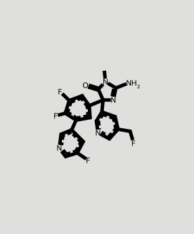 CN1C(=O)C(c2cncc(CF)c2)(c2cc(F)c(F)c(-c3cncc(F)c3)c2)N=C1N